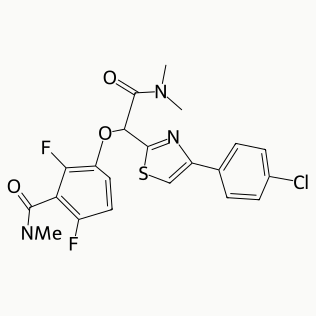 CNC(=O)c1c(F)ccc(OC(C(=O)N(C)C)c2nc(-c3ccc(Cl)cc3)cs2)c1F